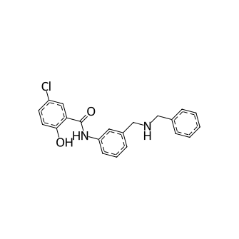 O=C(Nc1cccc(CNCc2ccccc2)c1)c1cc(Cl)ccc1O